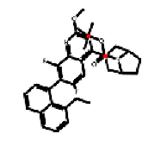 CCc1cccc2cccc(-c3c(F)cc4c(N5CC6CCC(C5)N6C(=O)OC(C)(C)C)nc(OC)nc4c3F)c12